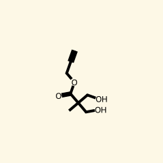 C#CCOC(=O)C(C)(CO)CO